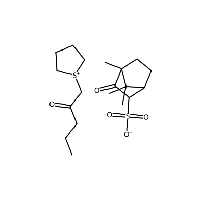 CC12CCC(C(S(=O)(=O)[O-])C1=O)C2(C)C.CCCC(=O)C[S+]1CCCC1